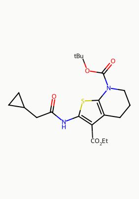 CCOC(=O)c1c(NC(=O)CC2CC2)sc2c1CCCN2C(=O)OC(C)(C)C